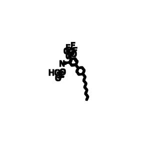 CCCCCCCCC1CCC(c2ccc(OS(=O)(=O)C(F)(F)F)c(C#N)c2)CC1.CS(=O)(=O)O